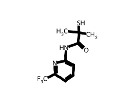 CC(C)(S)C(=O)Nc1cccc(C(F)(F)F)n1